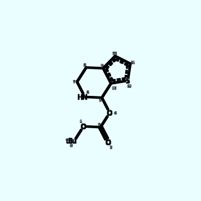 CC(C)(C)OC(=O)OC1NCCc2ccsc21